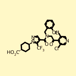 O=C(CN(Cc1ccccc1O)C(=O)c1cnn([C@H]2CC[C@H](C(=O)O)CC2)c1C(F)(F)F)c1c(Cl)cncc1Cl